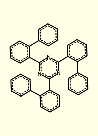 c1ccc(-c2ccccc2-c2nc(-c3ccccc3-c3ccccc3)nc(-c3ccccc3-c3ccccc3)n2)cc1